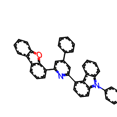 c1ccc(-c2cc(-c3cccc4c3oc3ccccc34)nc(-c3cccc4c3c3ccccc3n4-c3ccccc3)c2)cc1